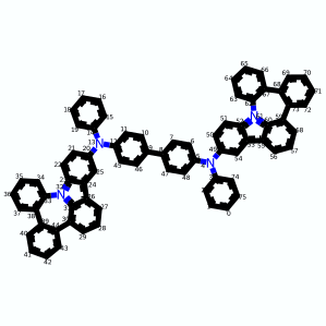 c1ccc(N(c2ccc(-c3ccc(N(c4ccccc4)c4ccc5c(c4)c4cccc6c4n5-c4ccccc4-c4ccccc4-6)cc3)cc2)c2ccc3c(c2)c2cccc4c2n3-c2ccccc2-c2ccccc2-4)cc1